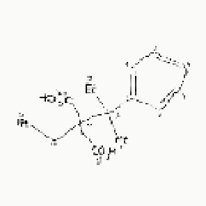 CCC(CC)(c1ccccc1)C(CC(C)C)(C(=O)O)C(=O)O